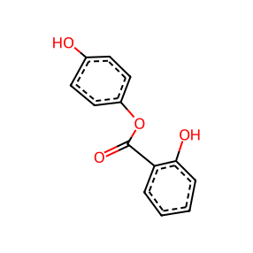 O=C(Oc1ccc(O)cc1)c1ccccc1O